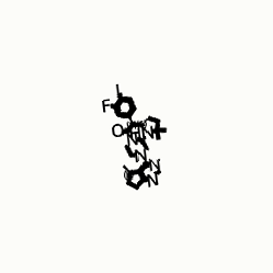 C[C@@H]1CCc2ncnc(N3CCN(C(=O)[C@@H](c4ccc(I)c(F)c4)[C@@H]4CCC(C)(C)N4)CC3)c21